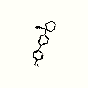 N#CC1(c2ccc(-c3cnc(N)cn3)cc2)CCOCC1